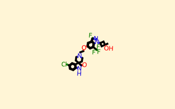 CC1(O)CC(n2nc(F)c3cc(OCCN4CCC5(CC4)C(=O)Nc4ccc(Cl)cc45)cc(C(F)(F)F)c32)C1